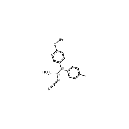 Cc1ccc([C@@H](c2ccc(OC(C)C)nc2)[C@H](N=[N+]=[N-])C(=O)O)cc1